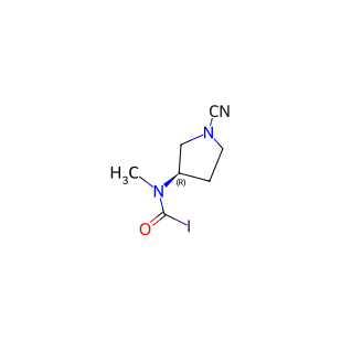 CN(C(=O)I)[C@@H]1CCN(C#N)C1